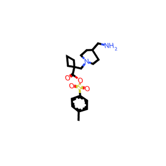 Cc1ccc(S(=O)(=O)OC(=O)C2(CN3CCC(CN)CC3)CCC2)cc1